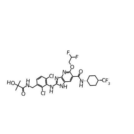 CC(C)(O)C(=O)NCc1ccc(Cl)c(Nc2nc3nc(OCC(F)F)c(C(=O)N[C@H]4CC[C@H](C(F)(F)F)CC4)cc3[nH]2)c1Cl